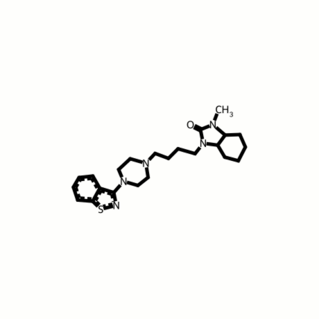 CN1C(=O)N(CCCCN2CCN(c3nsc4ccccc34)CC2)C2CCCCC21